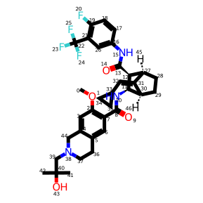 COc1cc2c(cc1C(=O)N[C@H]1[C@@H](C(=O)Nc3ccc(F)c(C(F)(F)F)c3)[C@H]3CC[C@@H]1C3=CC1CC1)CCN(CC(C)(C)O)C2